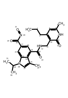 CCCc1cc(C)[nH]c(=O)c1CNC(=O)c1cc(C(=O)N=O)cc2c1c(C)cn2C(C)C